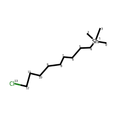 [CH3][Sn]([CH3])([CH3])[CH2]CCCCCCCCCl